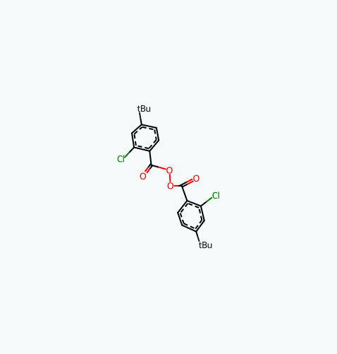 CC(C)(C)c1ccc(C(=O)OOC(=O)c2ccc(C(C)(C)C)cc2Cl)c(Cl)c1